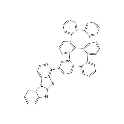 c1ccc2c(c1)nc1sc3c(-c4ccc5c(c4)c4cccc6c4-c4c(cccc4c4ccccc45)c4ccccc4c4ccccc64)nccc3n12